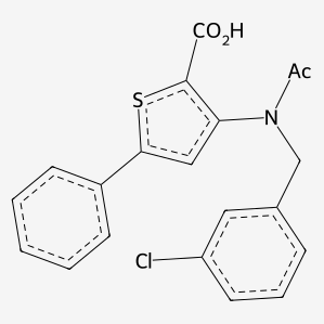 CC(=O)N(Cc1cccc(Cl)c1)c1cc(-c2ccccc2)sc1C(=O)O